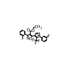 CCOC(=O)c1c(-c2ccccc2F)noc1-c1cnn(-c2cccc(F)c2)c1C(F)(F)F